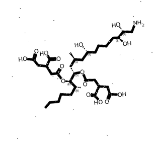 CCCCC[C@@H](C)[C@@H](OC(=O)CC(CC(=O)O)C(=O)O)[C@H](C[C@@H](C)C[C@H](O)CCCC[C@H](O)[C@H](O)CN)OC(=O)CC(CC(=O)O)C(=O)O